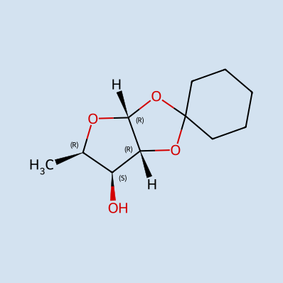 C[C@H]1O[C@@H]2OC3(CCCCC3)O[C@@H]2[C@H]1O